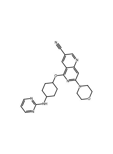 N#Cc1cnc2cc(N3CCOCC3)nc(OC3CCC(Nc4ncccn4)CC3)c2c1